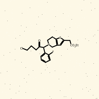 CCOC(=O)Cc1cc2c(s1)CCN(C(C(=O)CCCCl)c1ccccc1F)C2